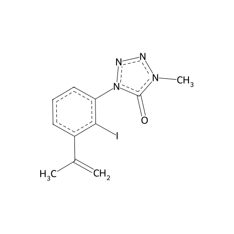 C=C(C)c1cccc(-n2nnn(C)c2=O)c1I